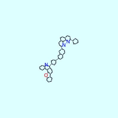 c1ccc(-c2ccc3ccc4ccc(-c5ccc6ccc(-c7ccc(-c8nc9ccccc9c9c8ccc8c%10ccccc%10oc89)cc7)cc6c5)nc4c3n2)cc1